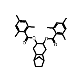 Cc1cc(C)c(C(=O)OC2CC3C4CCC(C4)C3CC2OC(=O)c2c(C)cc(C)cc2C)c(C)c1